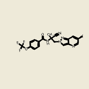 CC(C#N)(Cn1cc2ncc(I)cc2n1)NC(=O)c1ccc(OC(F)(F)F)cc1